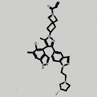 C=CC(=O)N1CC2(CC(n3nc(-c4ccc5c(cnn5CCN5CC[C@H](C)C5)c4)c(-c4c(Cl)c(C)cc5[nH]ncc45)c3C)C2)C1